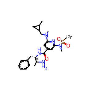 CC1CC1CN(C)c1cc(C(=O)N[C@@H](Cc2ccccc2)C(C)N)cc(N(C)S(=O)(=O)C(C)C)n1